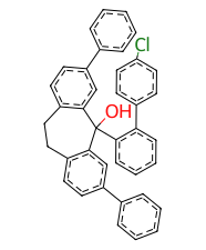 OC1(c2ccccc2-c2ccc(Cl)cc2)c2cc(-c3ccccc3)ccc2CCc2ccc(-c3ccccc3)cc21